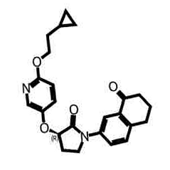 O=C1CCCc2ccc(N3CC[C@@H](Oc4ccc(OCCC5CC5)nc4)C3=O)cc21